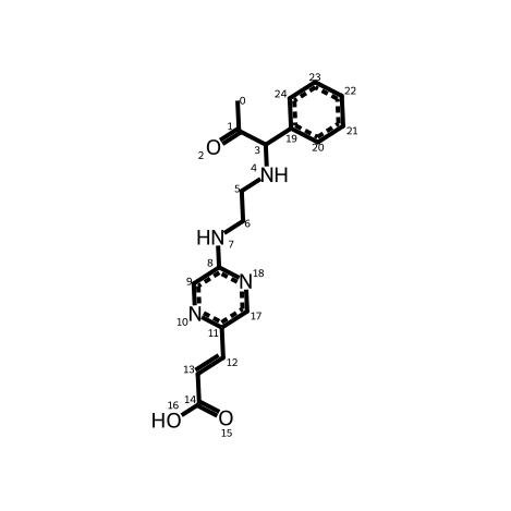 CC(=O)C(NCCNc1cnc(/C=C/C(=O)O)cn1)c1ccccc1